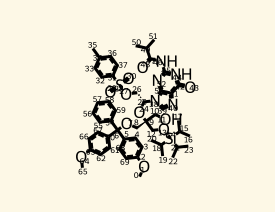 COc1ccc(C(OC[C@@](CO)(CO[Si](C(C)C)(C(C)C)C(C)C)O[C@H](COS(=O)(=O)c2ccc(C)cc2)n2cnc3c(=O)[nH]c(NC(=O)C(C)C)nc32)(c2ccccc2)c2ccc(OC)cc2)cc1